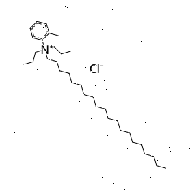 CCCCCCCCCCCCCCCCCCCC[N+](CCC)(CCC)c1ccccc1C.[Cl-]